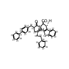 O=C(NC(Cc1csc2ccccc12)C(=O)O)C(Cc1ccc(-c2ccccc2)cc1)CP(O)CCc1ccccc1